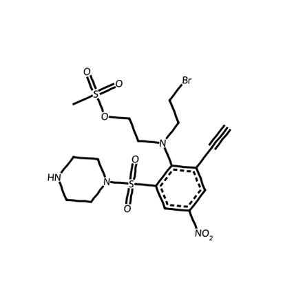 C#Cc1cc([N+](=O)[O-])cc(S(=O)(=O)N2CCNCC2)c1N(CCBr)CCOS(C)(=O)=O